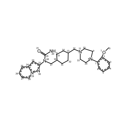 COc1ccccc1N1CCN(CC2CCC(CN(C(N)=O)c3cc4ccccn4n3)CC2)CC1